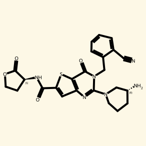 N#Cc1ccccc1Cn1c(N2CCC[C@@H](N)C2)nc2cc(C(=O)N[C@H]3CCOC3=O)sc2c1=O